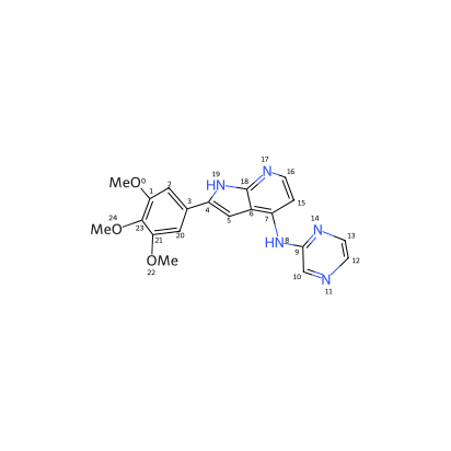 COc1cc(-c2cc3c(Nc4cnccn4)ccnc3[nH]2)cc(OC)c1OC